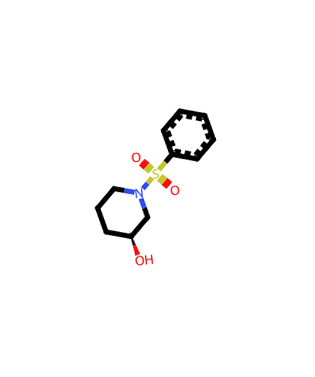 O=S(=O)(c1ccccc1)N1CCC[C@H](O)C1